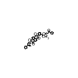 CC(OC(=O)CCC(=O)C1=CC=CC1)c1cccc(N2C(=O)c3ccc4c5c(ccc(c35)C2=O)C(=O)N(c2ccc(C3=CCC=C3)cc2)C4=O)c1